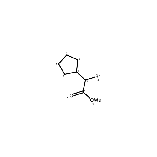 COC(=O)C(Br)C1CCCC1